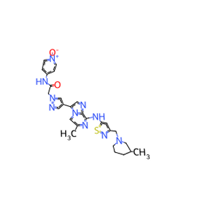 Cc1cn2c(-c3cnn(CC(=O)Nc4cc[n+]([O-])cc4)c3)cnc2c(Nc2cc(CN3CCCC(C)C3)ns2)n1